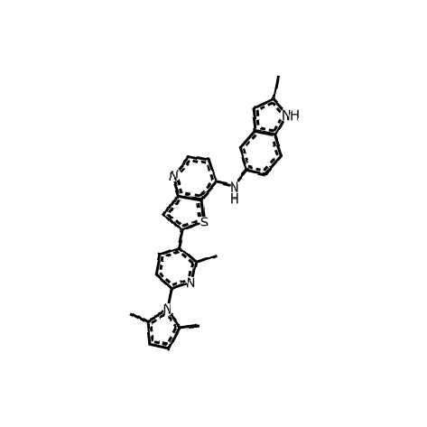 Cc1cc2cc(Nc3ccnc4cc(-c5ccc(-n6c(C)ccc6C)nc5C)sc34)ccc2[nH]1